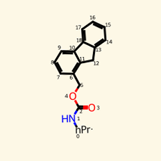 CC[CH]NC(=O)OCc1cccc2c1Cc1ccccc1-2